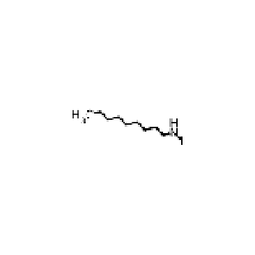 CCCCCCCCCNI